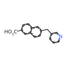 O=C(O)c1ccc2cc(Cc3cccnc3)ccc2c1